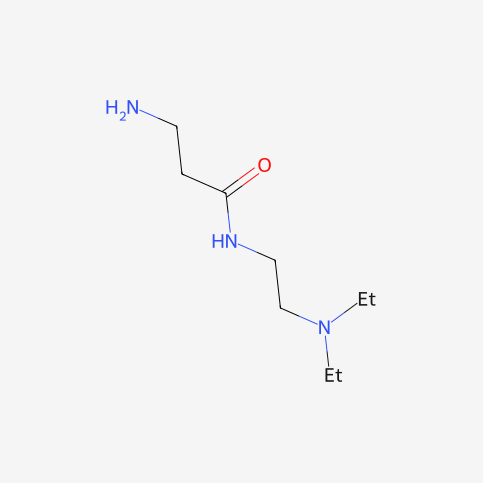 CCN(CC)CCNC(=O)CCN